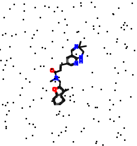 Cc1c(CN(C)C(=O)/C=C/c2cnc3c(c2)C=NC(C)(C)CN3)oc2ccccc12